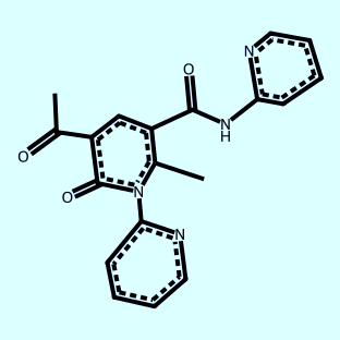 CC(=O)c1cc(C(=O)Nc2ccccn2)c(C)n(-c2ccccn2)c1=O